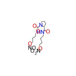 O=C(NCCCCO[N+](=O)[O-])C1CCCN1C(=O)OCCCCO[N+](=O)[O-]